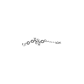 CCCCCCCCCCCCCCCCCCOc1ccc(NC(=O)C(=O)Nc2ccc(-c3ccc(C(F)(F)F)cc3)cc2)cc1